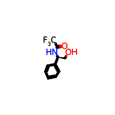 O=C(N[C@@H](CO)c1ccccc1)C(F)(F)F